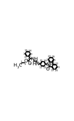 CCCOC(=O)C(NCCNc1ccc(NC(=O)c2ccccc2-c2ccccc2)cc1)c1ccccc1